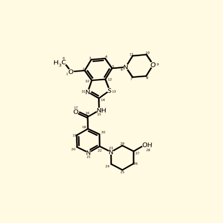 COc1ccc(N2CCOCC2)c2sc(NC(=O)c3ccnc(N4CCCC(O)C4)c3)nc12